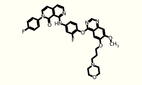 COc1cc2ncnc(Oc3ccc(Nc4nccc5ccn(-c6ccc(F)cc6)c(=O)c45)cc3F)c2cc1OCCCN1CCOCC1